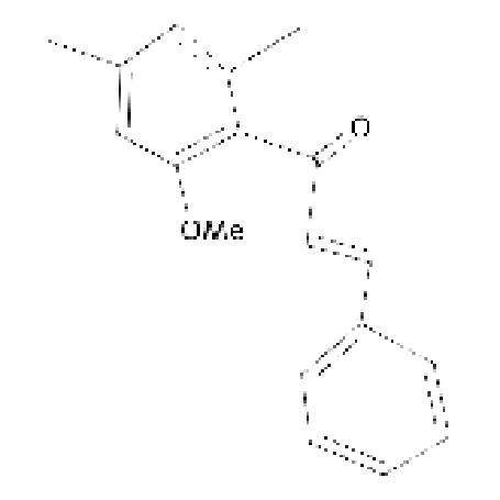 COc1cc(C)cc(C)c1C(=O)/C=C/c1ccccc1